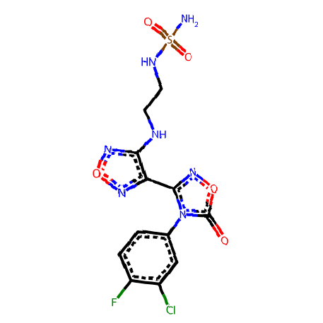 NS(=O)(=O)NCCNc1nonc1-c1noc(=O)n1-c1ccc(F)c(Cl)c1